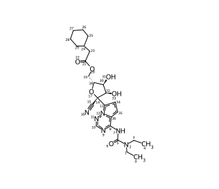 CCN(CC)C(=O)Nc1ncnn2c([C@]3(C#N)O[C@H](COC(=O)CC4CCCCC4)[C@@H](O)[C@H]3O)ccc12